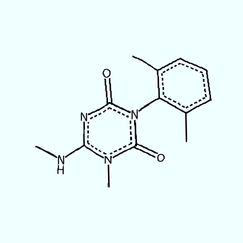 CNc1nc(=O)n(-c2c(C)cccc2C)c(=O)n1C